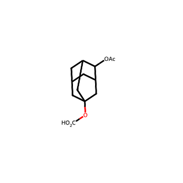 CC(=O)OC1C2CC3CC1CC(OC(=O)O)(C3)C2